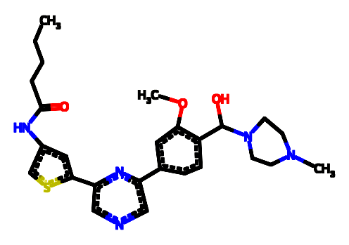 CCCCC(=O)Nc1csc(-c2cncc(-c3ccc(C(O)N4CCN(C)CC4)c(OC)c3)n2)c1